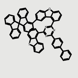 c1ccc(-c2ccc(-c3nc(-c4cccc5oc6ccc(-c7cccc8c7-c7ccccc7C87c8ccccc8-c8ccccc87)cc6c45)nc(-c4cccc5sc6ccccc6c45)n3)cc2)cc1